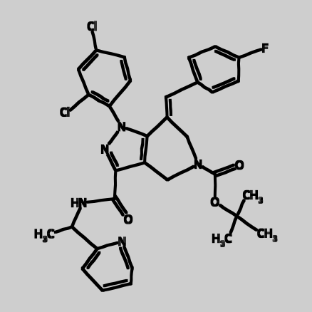 CC(NC(=O)c1nn(-c2ccc(Cl)cc2Cl)c2c1CN(C(=O)OC(C)(C)C)CC2=Cc1ccc(F)cc1)c1ccccn1